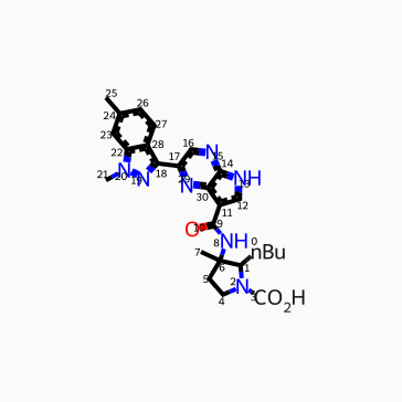 CCCCC1N(C(=O)O)CCC1(C)NC(=O)c1c[nH]c2ncc(-c3nn(C)c4cc(C)ccc34)nc12